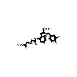 CCOC(=O)c1cc2c(NC(=O)CNCC(=O)OC)cccc2n1Cc1ccc(Cl)c(Cl)c1